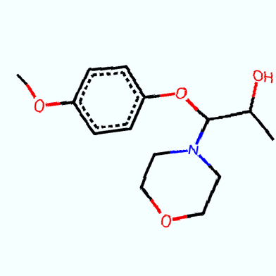 COc1ccc(OC(C(C)O)N2CCOCC2)cc1